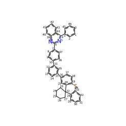 c1ccc(-c2nc(-c3ccc(-c4cccc(-c5ccc6c(c5)C5(CCCCC5)c5ccccc5S6)c4)cc3)nc3ccccc23)cc1